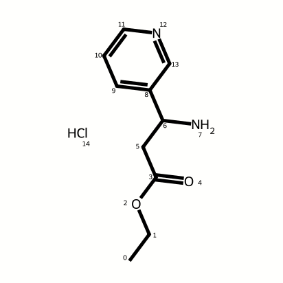 CCOC(=O)CC(N)c1cccnc1.Cl